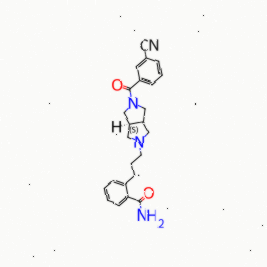 N#Cc1cccc(C(=O)N2CC3CN(CC[CH]c4ccccc4C(N)=O)C[C@H]3C2)c1